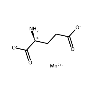 N[C@@H](CCC(=O)[O-])C(=O)[O-].[Mn+2]